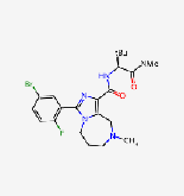 CNC(=O)[C@@H](NC(=O)c1nc(-c2cc(Br)ccc2F)n2c1CN(C)CCC2)C(C)(C)C